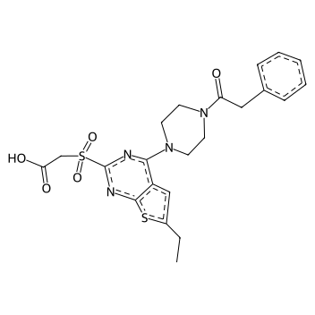 CCc1cc2c(N3CCN(C(=O)Cc4ccccc4)CC3)nc(S(=O)(=O)CC(=O)O)nc2s1